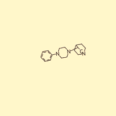 c1ccc(N2CCN(C3CN4CCC3CC4)CC2)cc1